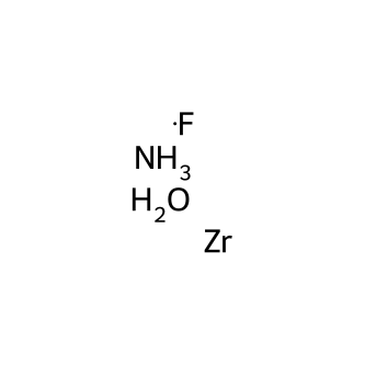 N.O.[F].[Zr]